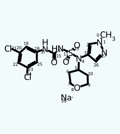 Cn1cc(N(C2CCOCC2)S(=O)(=O)NC(=O)Nc2cc(Cl)cc(Cl)c2)cn1.[Na]